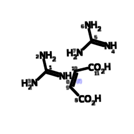 N=C(N)N.N=C(N)N.O=C(O)/C=C\C(=O)O